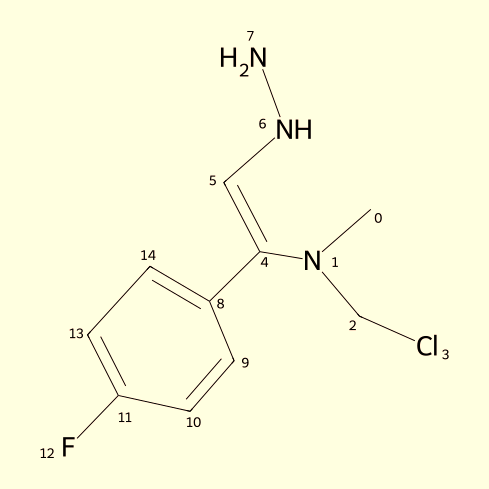 CN(CCl)/C(=C\NN)c1ccc(F)cc1